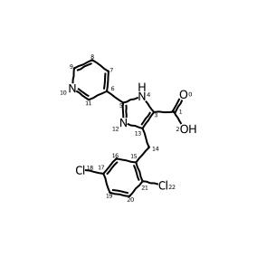 O=C(O)c1[nH]c(-c2cccnc2)nc1Cc1cc(Cl)ccc1Cl